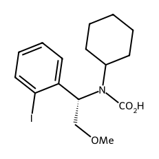 COC[C@H](c1ccccc1I)N(C(=O)O)C1CCCCC1